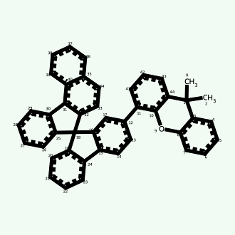 CC1(C)c2ccccc2Oc2c(-c3ccc4c(c3)C3(c5ccccc5-4)c4ccccc4-c4c3ccc3ccccc43)cccc21